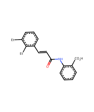 CCc1cccc(/C=C/C(=O)Nc2ccccc2C(=O)O)c1CC